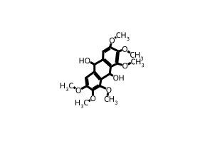 COc1cc2c(c(OC)c1OC)C(O)c1c(cc(OC)c(OC)c1OC)C2O